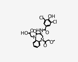 COCC(=O)N1C[C@H](NC(=O)c2cc(Cl)c(O)c(Cl)c2)C(=O)N(CC(=O)O)c2ccccc21